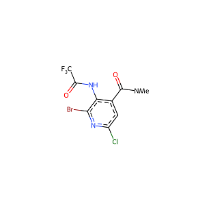 CNC(=O)c1cc(Cl)nc(Br)c1NC(=O)C(F)(F)F